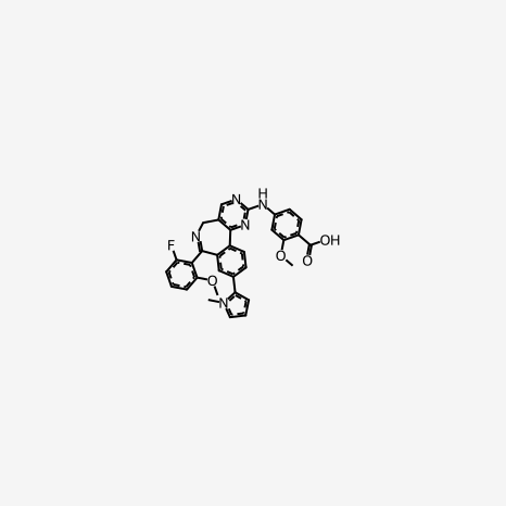 COc1cc(Nc2ncc3c(n2)-c2ccc(-c4cccn4C)cc2C(c2c(F)cccc2OC)=NC3)ccc1C(=O)O